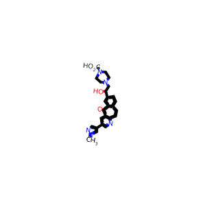 Cn1cc(-c2cnc3ccc4ccc(C(O)CN5CCN(C(=O)O)CC5)cc4c(=O)c3c2)cn1